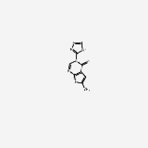 Cc1cc2c(=O)n(-c3nnn[nH]3)cnc2s1